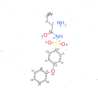 CC(C)C[C@H](N)C(=O)NS(=O)(=O)c1ccc(Oc2ccccc2)cc1